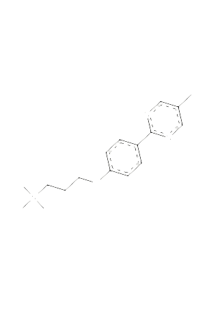 CC[N+](CC)(CC)CCCOc1ccc(-c2ncc(C)cn2)cc1